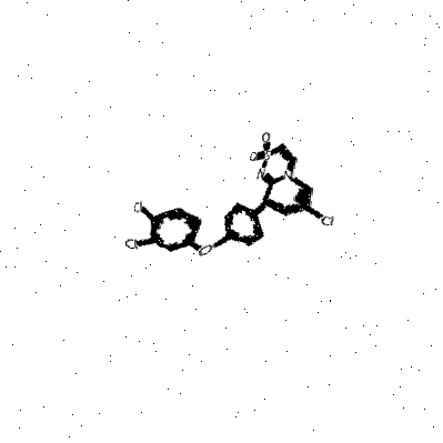 O=S1(=O)C=CN2C=C(Cl)C=C(c3ccc(Oc4ccc(Cl)c(Cl)c4)cc3)C2=N1